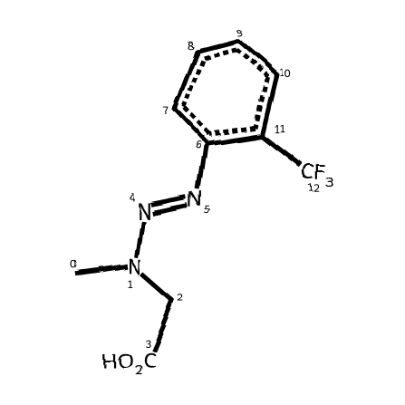 CN(CC(=O)O)/N=N/c1ccccc1C(F)(F)F